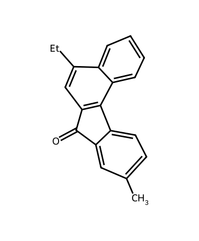 CCc1cc2c(c3ccccc13)-c1ccc(C)cc1C2=O